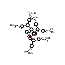 CCCCC(CC)COc1ccc(-c2cc(-c3ccc(OCC(CC)CCCC)cc3)cc(-c3ccc(-c4ccccn4)c(C4(c5cc(-c6cc(-c7ccc(OCC(CC)CCCC)cc7)cc(-c7ccc(OCC(CC)CCCC)cc7)c6)ccc5-c5ccccn5)c5ccccc5-c5ccc(-c6cc(-c7ccc(OCC(CC)CCCC)cc7)cc(-c7ccc(OCC(CC)CCCC)cc7)c6)cc54)c3)c2)cc1